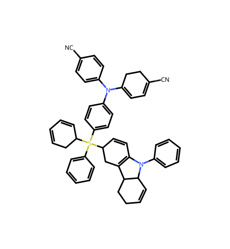 N#CC1=CC=C(N(c2ccc(C#N)cc2)c2ccc(S(c3ccccc3)(C3C=CC=CC3)C3C=CC4=C(C3)C3CCC=CC3N4c3ccccc3)cc2)CC1